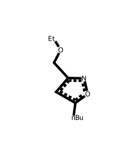 [CH2]COCc1cc(CCCC)on1